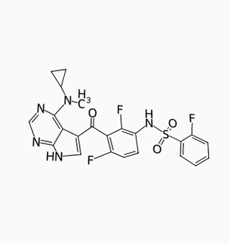 CN(c1ncnc2[nH]cc(C(=O)c3c(F)ccc(NS(=O)(=O)c4ccccc4F)c3F)c12)C1CC1